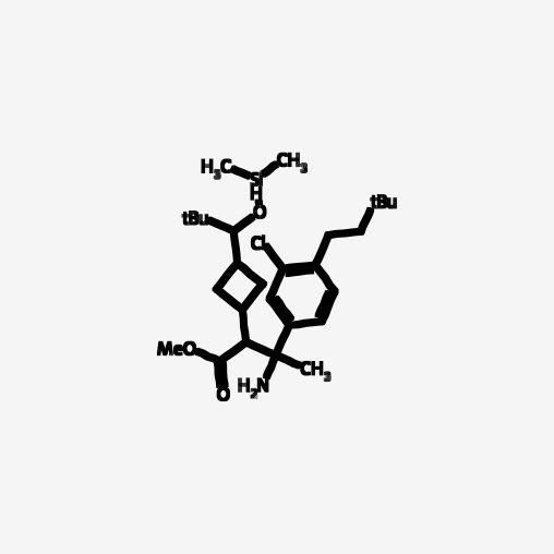 COC(=O)C(C1CC(C(O[SiH](C)C)C(C)(C)C)C1)C(C)(N)c1ccc(CCC(C)(C)C)c(Cl)c1